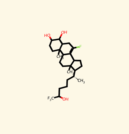 C[C@H](CCCC(O)C(F)(F)F)C1CCC2C3=C(F)CC4C(O)C(O)CCC4(C)C3CCC21C